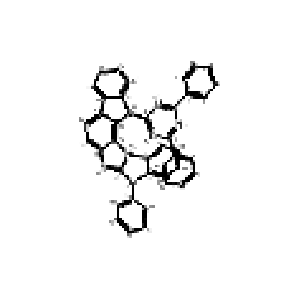 c1ccc(-c2nc(-c3ccccc3)nc(-n3c4ccccc4c4ccc5nc6n(-c7ccccc7)c7ccccc7n6c5c43)n2)cc1